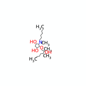 CCCCCCCN(C)C1C(O)CC(O)C1OCC(C)(O)C(C)CCCC